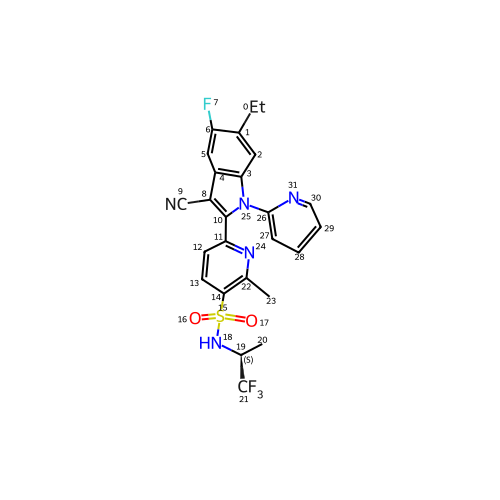 CCc1cc2c(cc1F)c(C#N)c(-c1ccc(S(=O)(=O)N[C@@H](C)C(F)(F)F)c(C)n1)n2-c1ccccn1